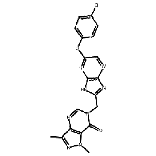 Cc1nn(C)c2c(=O)n(Cc3nc4ncc(Oc5ccc(Cl)cc5)nc4[nH]3)cnc12